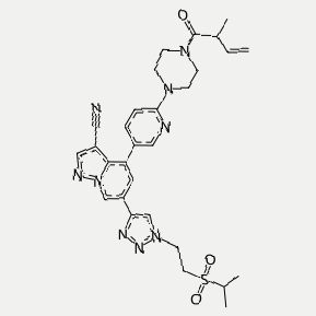 C=CC(C)C(=O)N1CCN(c2ccc(-c3cc(-c4cn(CCS(=O)(=O)C(C)C)nn4)cn4ncc(C#N)c34)cn2)CC1